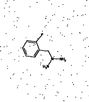 NN(N)Cc1ccccc1F